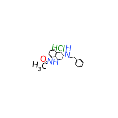 CC(=O)Nc1cccc2c1CCC(NCCc1ccccc1)C2.Cl